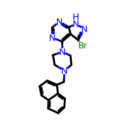 Brc1n[nH]c2ncnc(N3CCN(Cc4cccc5ccccc45)CC3)c12